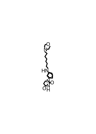 O=C1CCN(c2cccc(NCCCCCCCCN3CCOCC3)c2)C(=O)N1